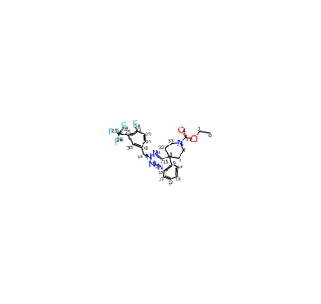 CCOC(=O)N1CCC(c2ccccc2)(c2nnn(Cc3ccc(F)c(C(F)(F)F)c3)n2)CC1